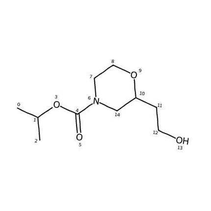 CC(C)OC(=O)N1CCOC(CCO)C1